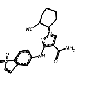 N#CC1CCCCC1n1cc(C(N)=O)c(Nc2ccc3c(c2)C=CS3(=O)=O)n1